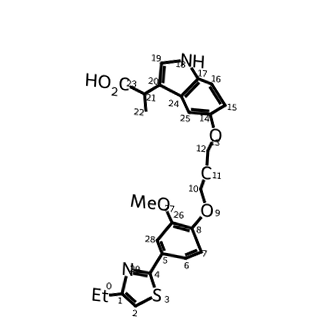 CCc1csc(-c2ccc(OCCCOc3ccc4[nH]cc(C(C)C(=O)O)c4c3)c(OC)c2)n1